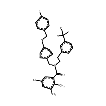 Cc1c(N)cc(Cl)cc1C(=O)N(CCc1cccc(C(F)(F)F)c1)Cc1ccc(OCc2ccc(F)cc2)cc1